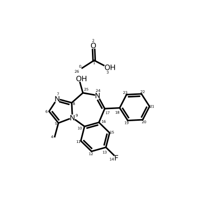 CC(=O)O.Cc1cnc2n1-c1ccc(F)cc1C(c1ccccc1)=NC2O